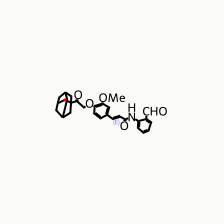 COc1cc(/C=C/C(=O)Nc2ccccc2C=O)ccc1OCC(=O)C12CC3CC(CC(C3)C1)C2